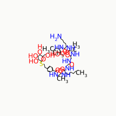 CCCCCC(NC(=O)C(C)NC(=O)c1ccc(CCSC2OC(CO)C(O)C(O)C2O)cc1)C(=O)NCC(=O)NCC(=O)NC(C)C(=O)NC(CCCCN)C(=O)NC(CC(C)C)C(=O)O